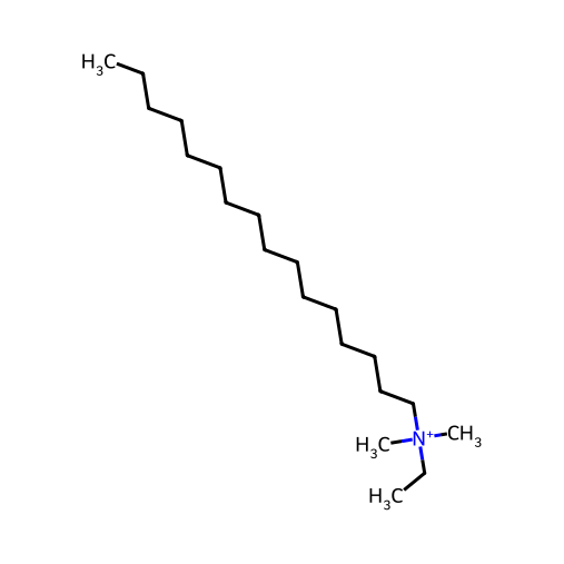 CCCCCCCCCCCCCCCC[N+](C)(C)CC